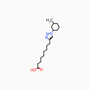 CC1CCCC(n2cc(CCCCCCCCC(=O)O)nn2)C1